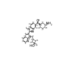 Cn1c(-c2cc3cccnc3n2CC2CC(C)(O)C2)nc2cc(C(=O)N3CCC[C@@H](N)C3)ccc21